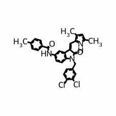 Cc1ccc(C(=O)Nc2ccc3c(c2)/C(=C/c2[nH]c(C)cc2C)C(=O)N3Cc2ccc(Cl)c(Cl)c2)cc1